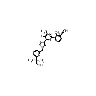 C#Cc1cccc(-c2nc(N)c(F)c(-c3cn(Cc4cccc(C(C)(C)CO)n4)nn3)n2)c1C